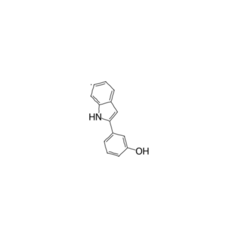 Oc1cccc(-c2cc3cc[c]cc3[nH]2)c1